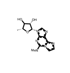 CNc1nc2c(ncn2[C@@H]2O[C@H](C)C(O)[C@@H]2O)c2nccn12